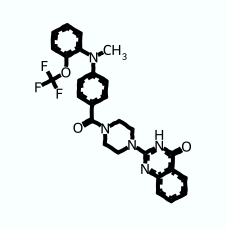 CN(c1ccc(C(=O)N2CCN(c3nc4ccccc4c(=O)[nH]3)CC2)cc1)c1ccccc1OC(F)(F)F